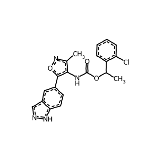 Cc1noc(-c2ccc3[nH]ncc3c2)c1NC(=O)OC(C)c1ccccc1Cl